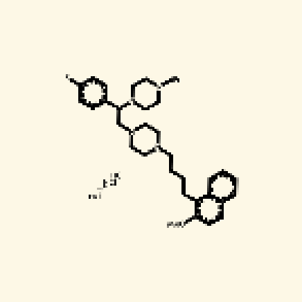 COc1ccc2ccccc2c1CCCCN1CCN(CC(c2ccc(F)cc2)N2CCN(C(C)C)CC2)CC1.Cl.Cl.Cl.Cl